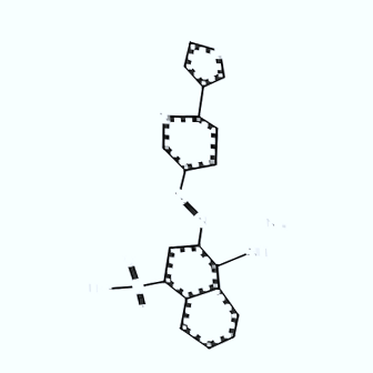 Nc1c(N=Nc2ccc(-c3ccsc3)nc2)cc(S(=O)(=O)O)c2ccccc12.[NaH]